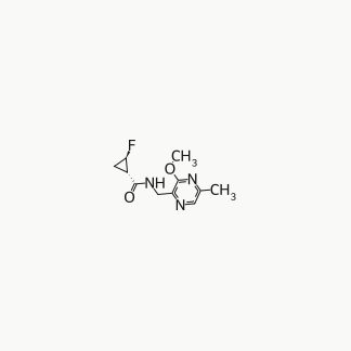 COc1nc(C)cnc1CNC(=O)[C@@H]1C[C@H]1F